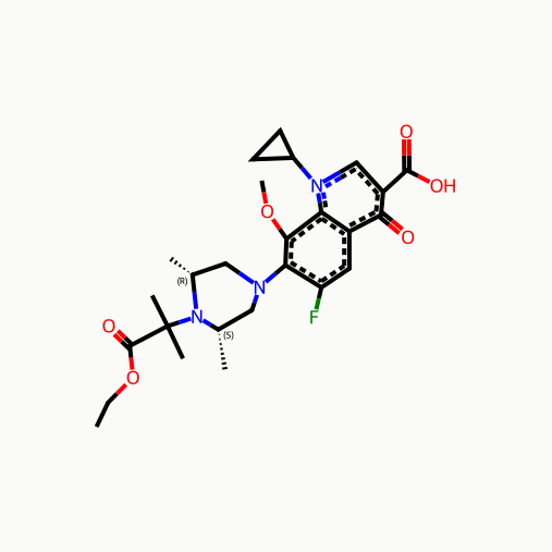 CCOC(=O)C(C)(C)N1[C@H](C)CN(c2c(F)cc3c(=O)c(C(=O)O)cn(C4CC4)c3c2OC)C[C@@H]1C